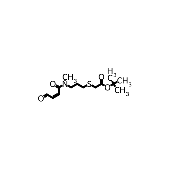 CN(CCCSCC(=O)OC(C)(C)C)C(=O)/C=C\C=O